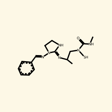 CNC(=O)N(S)CC(C)N=C1NCCN1N=Cc1ccccc1